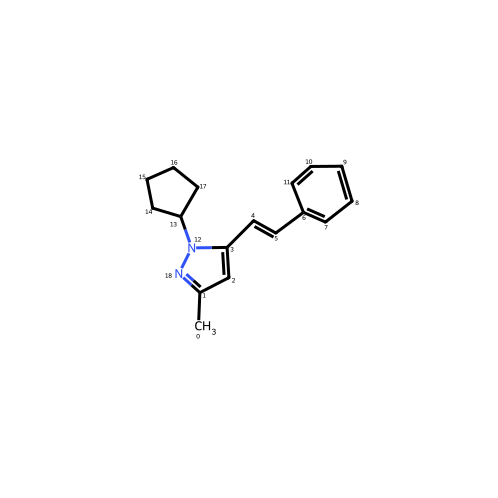 Cc1cc(/C=C/c2ccccc2)n(C2CCCC2)n1